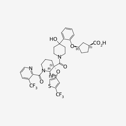 CCC[C@H]1N(C(=O)c2ncccc2C(F)(F)F)CCC[C@@]1(Oc1csc(C(F)(F)F)c1)C(=O)N1CCC(O)(c2ccccc2O[C@@H]2CC[C@H](C(=O)O)C2)CC1